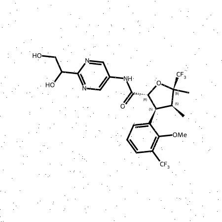 COc1c([C@H]2[C@H](C(=O)Nc3cnc(C(O)CO)nc3)O[C@@](C)(C(F)(F)F)[C@H]2C)cccc1C(F)(F)F